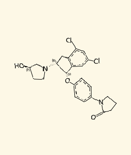 O=C1CCCN1c1ccc(O[C@H]2c3cc(Cl)cc(Cl)c3C[C@H]2N2CC[C@@H](O)C2)cc1